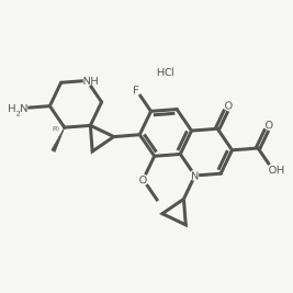 COc1c(C2CC23CNCC(N)[C@@H]3C)c(F)cc2c(=O)c(C(=O)O)cn(C3CC3)c12.Cl